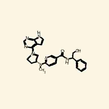 CN(c1ccc(C(=O)NC(CO)c2ccccc2)cn1)[C@@H]1CCN(c2ncnc3[nH]ccc23)C1